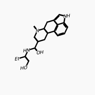 CCC(CO)NC(O)C1CC2c3cccc4[nH]cc(c34)CC2N(C)C1